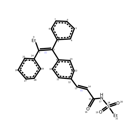 CC/C(=C(\c1ccccc1)c1ccc(/C=C/C(=O)NS(=O)(=O)CC)cc1)c1ccccc1